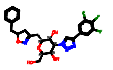 OC[C@H]1O[C@H](CC2=NOC(Cc3ccccc3)C2)[C@H](O)[C@@H](n2cc(-c3cc(F)c(F)c(F)c3)nn2)[C@H]1O